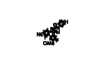 COc1ccc(-n2c(-c3ccc(C#N)c(F)c3)nc(C(=O)NC3CCNCC3)c2C)cc1F